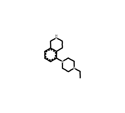 CCN1CCN(c2cccc3c2CCNC3)CC1